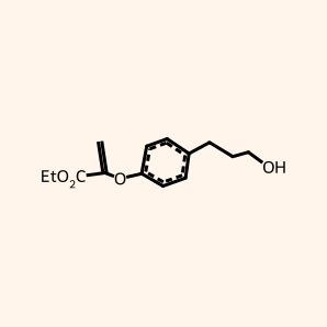 C=C(Oc1ccc(CCCO)cc1)C(=O)OCC